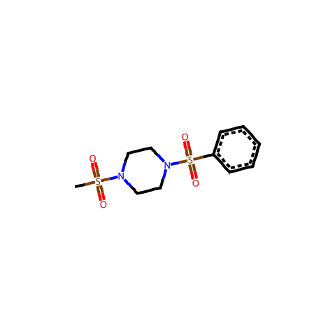 CS(=O)(=O)N1CCN(S(=O)(=O)c2[c]cccc2)CC1